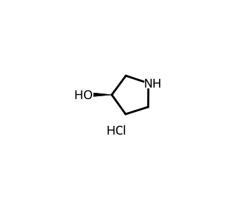 Cl.O[C@@H]1CCNC1